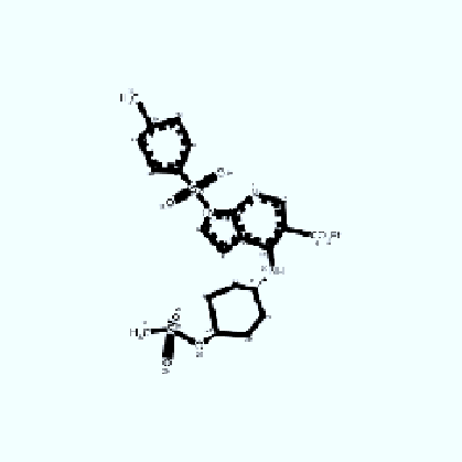 CCOC(=O)c1cnc2c(ccn2S(=O)(=O)c2ccc(C)cc2)c1N[C@H]1CC[C@H](OS(C)(=O)=O)CC1